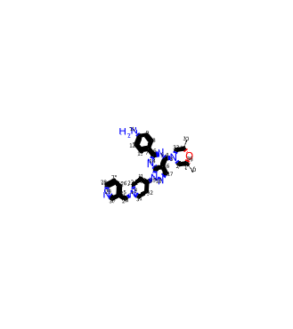 C[C@@H]1CN(c2nc(-c3ccc(N)cc3)nc3c2cnn3C2CCN(Cc3cccnc3)CC2)C[C@H](C)O1